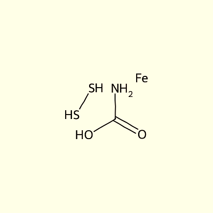 NC(=O)O.SS.[Fe]